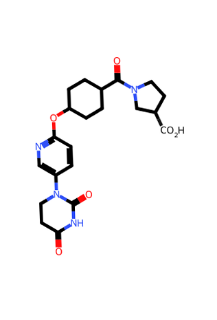 O=C1CCN(c2ccc(OC3CCC(C(=O)N4CCC(C(=O)O)C4)CC3)nc2)C(=O)N1